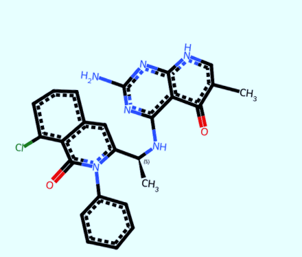 Cc1c[nH]c2nc(N)nc(N[C@@H](C)c3cc4cccc(Cl)c4c(=O)n3-c3ccccc3)c2c1=O